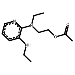 CCNc1cccnc1N(CC)CCOC(C)=O